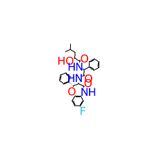 CC(C)C[C@H](O)C(=O)N[C@H](C(=O)N[C@@H]1C(=O)Nc2cc(F)ccc2O[C@@H]1c1ccccc1)c1ccccc1